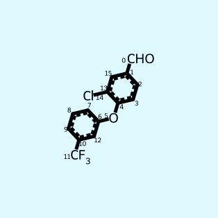 O=Cc1ccc(Oc2cccc(C(F)(F)F)c2)c(Cl)c1